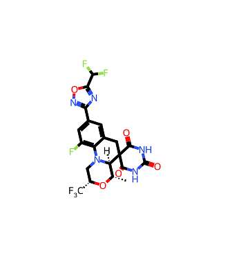 C[C@@H]1O[C@H](C(F)(F)F)CN2c3c(F)cc(-c4noc(C(F)F)n4)cc3CC3(C(=O)NC(=O)NC3=O)[C@@H]12